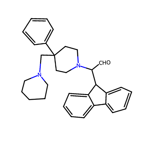 O=CC(C1c2ccccc2-c2ccccc21)N1CCC(CN2CCCCC2)(c2ccccc2)CC1